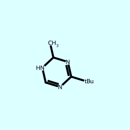 CC1N=C(C(C)(C)C)N=CN1